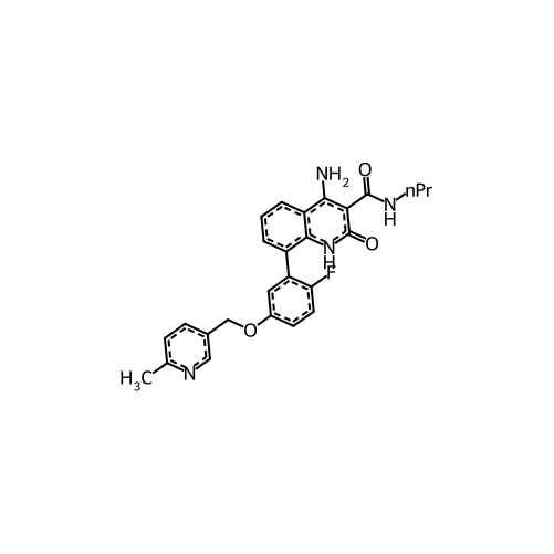 CCCNC(=O)c1c(N)c2cccc(-c3cc(OCc4ccc(C)nc4)ccc3F)c2[nH]c1=O